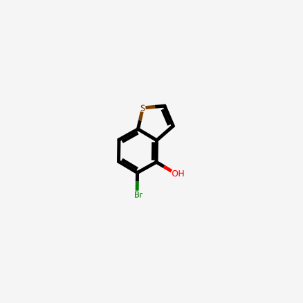 Oc1c(Br)ccc2sccc12